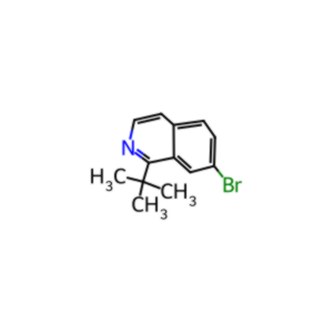 CC(C)(C)c1nccc2ccc(Br)cc12